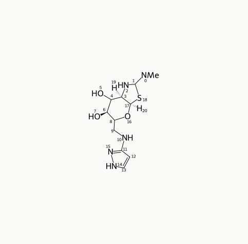 CNC1N[C@@H]2C(O)[C@H](O)C(CNc3cc[nH]n3)O[C@@H]2S1